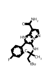 CC(C)(C)CC(C)(C)Nc1c(-c2ccc(F)cc2)[nH]c2c(C(N)=O)cnn12